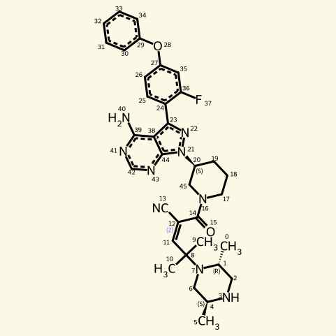 C[C@@H]1CN[C@@H](C)CN1C(C)(C)/C=C(/C#N)C(=O)N1CCC[C@H](n2nc(-c3ccc(Oc4ccccc4)cc3F)c3c(N)ncnc32)C1